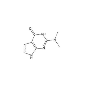 CN(C)c1nc2[nH]ccc2c(=O)[nH]1